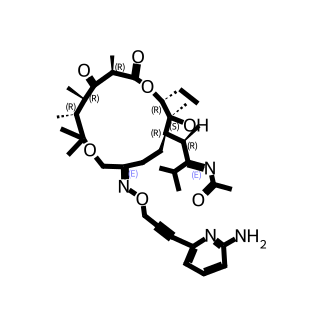 CC[C@H]1OC(=O)[C@H](C)C(=O)[C@H](C)[C@@H](C)C(C)(C)OC/C(=N/OCC#Cc2cccc(N)n2)CC[C@H]([C@@H](C)/C(=N/C(C)=O)C(C)C)[C@]1(C)O